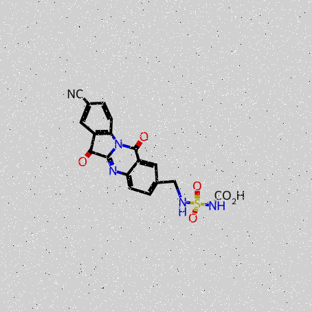 N#Cc1ccc2c(c1)C(=O)c1nc3ccc(CNS(=O)(=O)NC(=O)O)cc3c(=O)n1-2